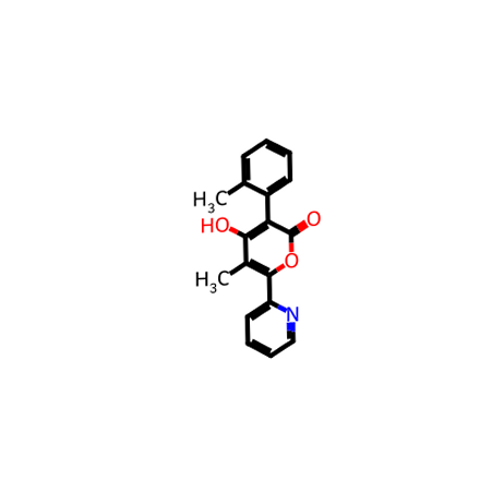 Cc1ccccc1-c1c(O)c(C)c(-c2ccccn2)oc1=O